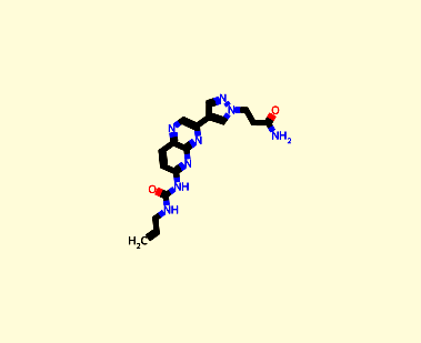 C=CCNC(=O)Nc1ccc2ncc(-c3cnn(CCC(N)=O)c3)nc2n1